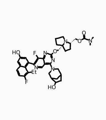 CCc1c(F)ccc2cc(O)cc(-c3ncc4c(N5CC6CC(O)C(C6)C5)nc(OC[C@]56CCCN5[C@H](COC(=O)N(C)C)CC6)nc4c3F)c12